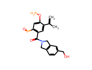 C=C(C)c1cc(C(=O)N2Cc3ccc(CO)cc3C2)c(P=O)cc1OP